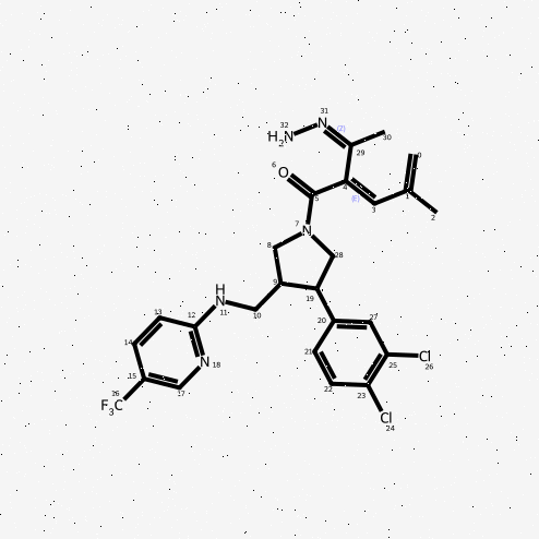 C=C(C)/C=C(C(=O)N1CC(CNc2ccc(C(F)(F)F)cn2)C(c2ccc(Cl)c(Cl)c2)C1)\C(C)=N/N